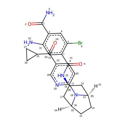 NC(=O)c1cc(Br)c(C(=O)N[C@H]2C[C@H]3CC[C@@H](C2)N3c2ccc(C(=O)C3CC3)cn2)cc1N